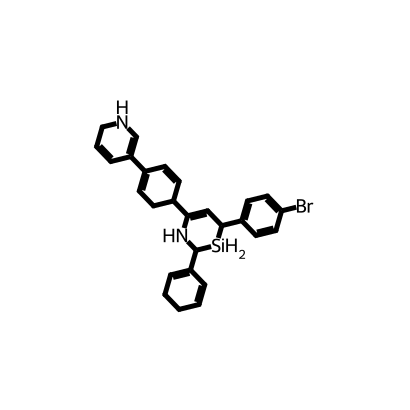 Brc1ccc(C2C=C(C3C=CC(C4=CNCC=C4)=CC3)NC(C3=CCCC=C3)[SiH2]2)cc1